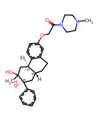 CC[C@@]12CC(C)(O)[C@](O)(c3ccccc3)C[C@H]1CCc1cc(OCC(=O)N3CCN(C)CC3)ccc12